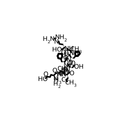 CC(C)C[C@H](NC(=O)[C@H](C)NC(=O)[C@@H](N)CCC(=O)O)C(=O)N[C@@H](CC(=O)O)C(=O)N[C@@H](Cc1ccccc1)C(=O)N[C@@H](Cc1ccccc1)C(=O)N[C@@H](C)C(=O)N[C@@H](CCCN=C(N)N)C(=O)O